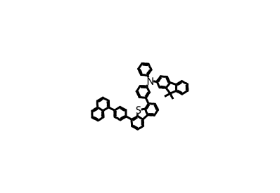 CC1(C)c2ccccc2-c2ccc(N(c3ccccc3)c3cccc(-c4cccc5c4sc4c(-c6ccc(-c7cccc8ccccc78)cc6)cccc45)c3)cc21